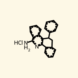 Cl.Nc1nc2c(c3ccccc13)C(c1ccccc1)Cc1ccccc1-2